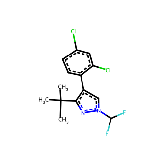 CC(C)(C)c1nn(C(F)F)cc1-c1ccc(Cl)cc1Cl